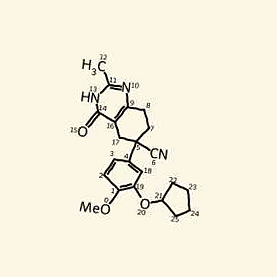 COc1ccc(C2(C#N)CCc3nc(C)[nH]c(=O)c3C2)cc1OC1CCCC1